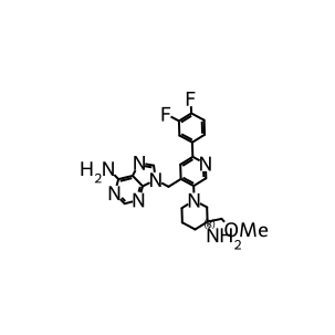 COC[C@@]1(N)CCCN(c2cnc(-c3ccc(F)c(F)c3)cc2Cn2cnc3c(N)ncnc32)C1